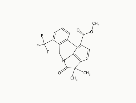 COC(=O)c1ccc2c3c1-c1cccc(C(F)(F)F)c1CN3C(=O)C2(C)C